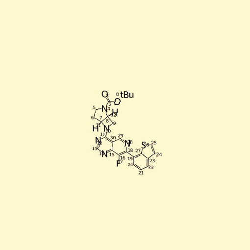 CC(C)(C)OC(=O)N1CC[C@@H]2[C@H]1CN2c1ncnc2c(F)c(-c3cccc4ccsc34)ncc12